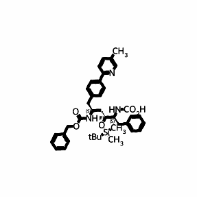 Cc1ccc(-c2ccc(C[C@@H](C[C@@H](O[Si](C)(C)C(C)(C)C)[C@H](Cc3ccccc3)NC(=O)O)NC(=O)OCc3ccccc3)cc2)nc1